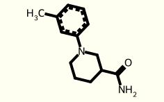 Cc1cccc(N2CCCC(C(N)=O)C2)c1